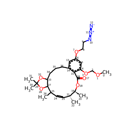 COCOc1cc(OCCN=[N+]=[N-])cc2c1C(=O)O[C@@H](C)[C@H](C)/C=C\C(C)C1OC(C)(C)OC1CCC2